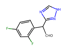 O=CC(c1nc[nH]n1)c1ccc(F)cc1F